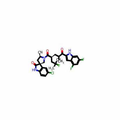 CC(C[C@@H](CC(C)(C)F)C(=O)N1C[C@]2(C[C@H]1C#N)C(=O)Nc1ccc(Cl)cc12)C(=O)c1cc2c(F)cc(F)cc2[nH]1